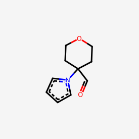 O=CC1(n2cccc2)CCOCC1